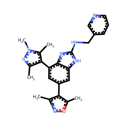 Cc1noc(C)c1-c1cc(-c2c(C)nn(C)c2C)c2nc(NCc3cccnc3)[nH]c2c1